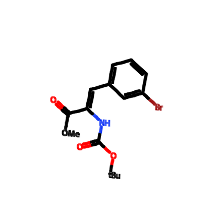 COC(=O)/C(=C/c1cccc(Br)c1)NC(=O)OC(C)(C)C